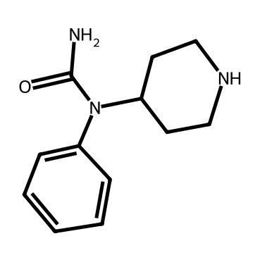 NC(=O)N(c1ccccc1)C1CCNCC1